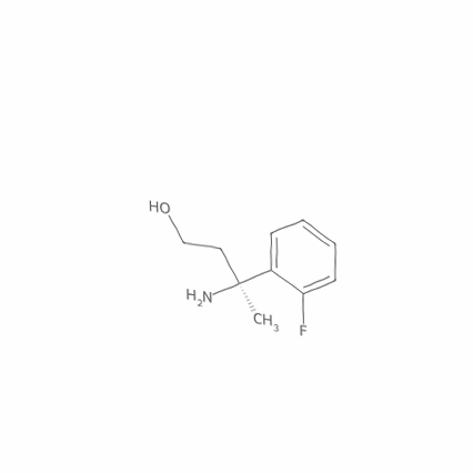 C[C@](N)(CCO)c1ccccc1F